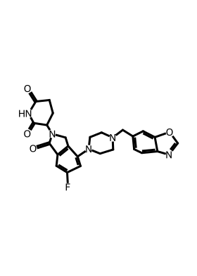 O=C1CCC(N2Cc3c(cc(F)cc3N3CCN(Cc4ccc5ncoc5c4)CC3)C2=O)C(=O)N1